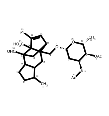 CC(=O)O[C@H]1[C@@H](SC(C)=O)C[C@H](OCC23CC4C(C)CCC4C4(C=O)CC2C=C(C(C)C)C43C(=O)O)O[C@@H]1C